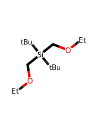 CCOC[Si](COCC)(C(C)(C)C)C(C)(C)C